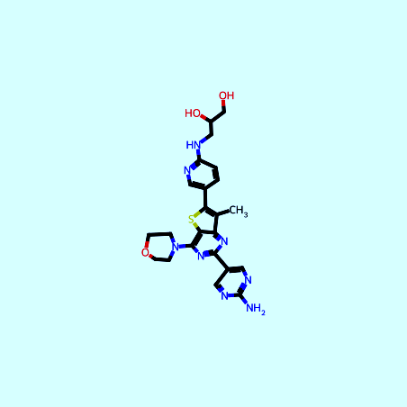 Cc1c(-c2ccc(NCC(O)CO)nc2)sc2c(N3CCOCC3)nc(-c3cnc(N)nc3)nc12